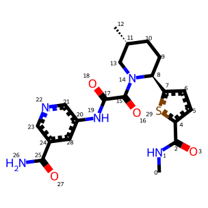 CNC(=O)c1ccc([C@@H]2CC[C@@H](C)CN2C(=O)C(=O)Nc2cncc(C(N)=O)c2)s1